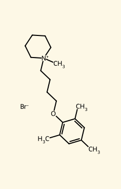 Cc1cc(C)c(OCCCC[N+]2(C)CCCCC2)c(C)c1.[Br-]